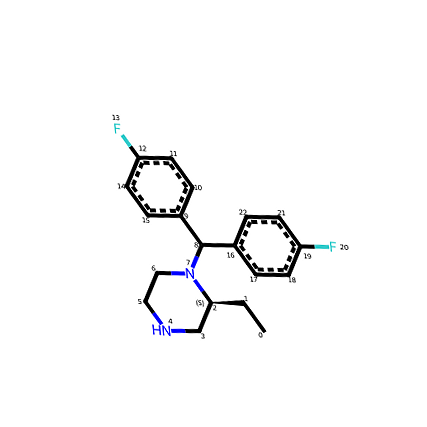 CC[C@H]1CNCCN1C(c1ccc(F)cc1)c1ccc(F)cc1